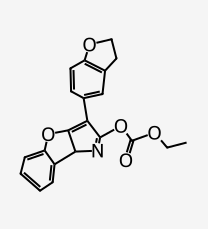 CCOC(=O)OC1=NC2C(=C1c1ccc3c(c1)CCO3)Oc1ccccc12